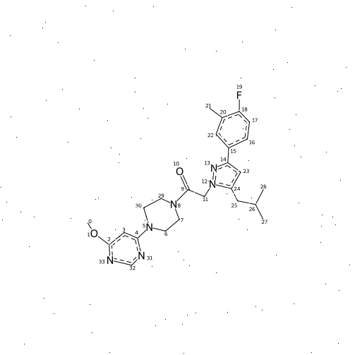 COc1cc(N2CCN(C(=O)Cn3nc(-c4ccc(F)c(C)c4)cc3CC(C)C)CC2)ncn1